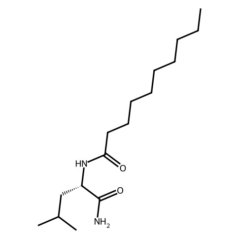 CCCCCCCCCC(=O)N[C@@H](CC(C)C)C(N)=O